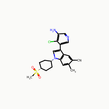 Cc1cc2c(cc1C#N)c(-c1cncc(N)c1Cl)cn2[C@H]1CC[C@@H](S(C)(=O)=O)CC1